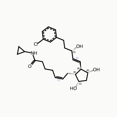 O=C(CCC/C=C\C[C@@H]1[C@@H](/C=C/[C@@H](O)CCc2cccc(Cl)c2)[C@H](O)C[C@@H]1O)NC1CC1